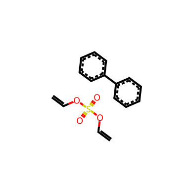 C=COS(=O)(=O)OC=C.c1ccc(-c2ccccc2)cc1